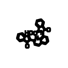 O=C1C(c2ccc3cccc(N4C(=O)c5ccccc5C4=O)c3n2)=C(O)c2ccccc21